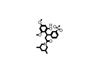 COc1cc(O)c(C(CC(=O)N2CC(C)CC(C)C2)c2cccc(S(C)(=O)=O)c2)c(OC)c1